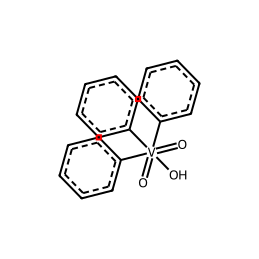 [O]=[V](=[O])([OH])([c]1ccccc1)([c]1ccccc1)[c]1ccccc1